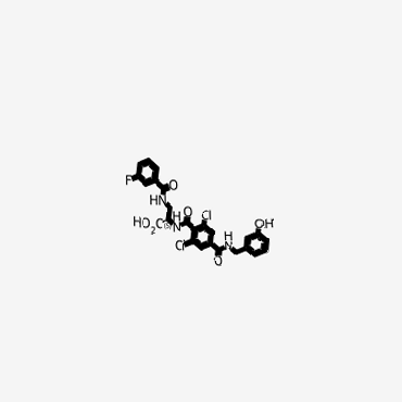 O=C(NCc1cccc(O)c1)c1cc(Cl)c(C(=O)N[C@@H](CNC(=O)c2cccc(F)c2)C(=O)O)c(Cl)c1